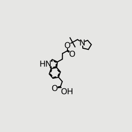 CC(C)(CN1CCCC1)OC(=O)CCc1c[nH]c2ccc(CC(=O)O)cc12